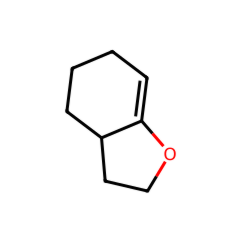 C1=C2OCCC2CCC1